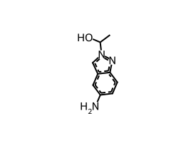 CC(O)n1cc2cc(N)ccc2n1